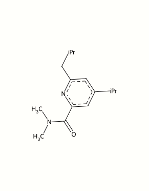 CC(C)Cc1cc(C(C)C)cc(C(=O)N(C)C)n1